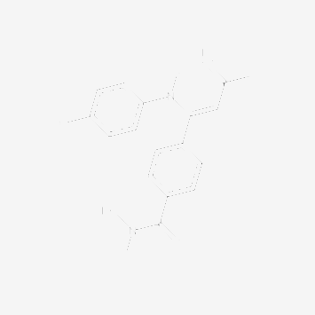 C=C(/C=C(/c1ccc(C(=O)N(C)C)cc1)N(C)c1ccc(C(F)(F)F)cc1)C(F)(F)F